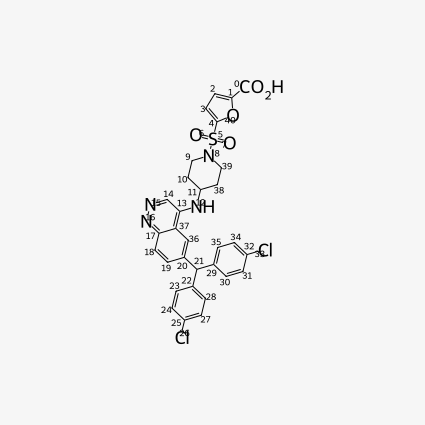 O=C(O)c1ccc(S(=O)(=O)N2CCC(Nc3cnnc4ccc(C(c5ccc(Cl)cc5)c5ccc(Cl)cc5)cc34)CC2)o1